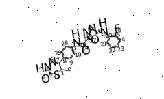 CC1SC(=O)NN=C1c1ccc(NC(=O)c2nnc(Nc3ccccc3F)o2)cc1